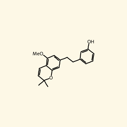 COc1cc(CCc2cccc(O)c2)cc2c1C=CC(C)(C)O2